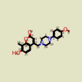 COc1ccc(N2CCN(Cc3cc(=O)oc4c(C)c(O)ccc34)CC2)cc1